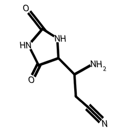 N#CCC(N)C1NC(=O)NC1=O